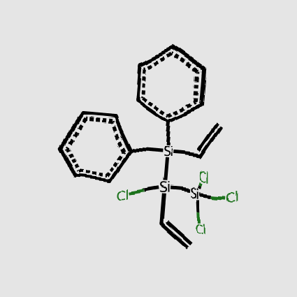 C=C[Si](c1ccccc1)(c1ccccc1)[Si](Cl)(C=C)[Si](Cl)(Cl)Cl